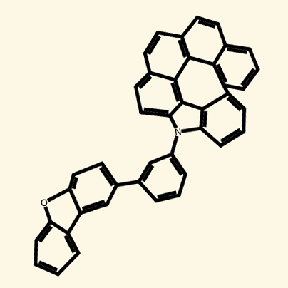 c1cc(-c2ccc3oc4ccccc4c3c2)cc(-n2c3cccc4c3c3c5c(ccc6ccc7cccc-4c7c65)ccc32)c1